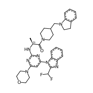 C[C@H](Nc1nc(N2CCOCC2)cc(-n2c(C(F)F)nc3ccccc32)n1)C(=O)N1CCC(CN2CCc3ccccc32)CC1